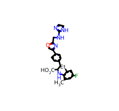 CCc1cc(F)cc(C)c1NC(Cc1ccc(-c2coc(CNc3ncc[nH]3)n2)cc1)C(=O)O